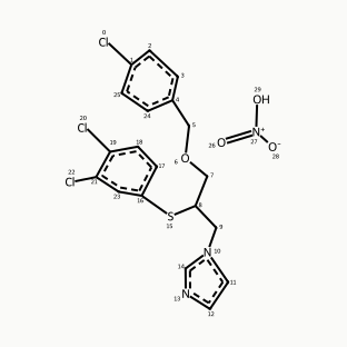 Clc1ccc(COCC(Cn2ccnc2)Sc2ccc(Cl)c(Cl)c2)cc1.O=[N+]([O-])O